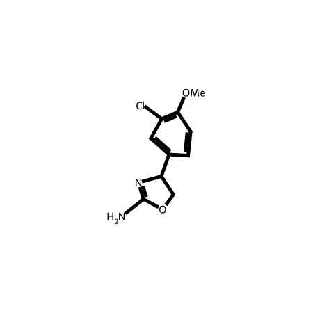 COc1ccc(C2COC(N)=N2)cc1Cl